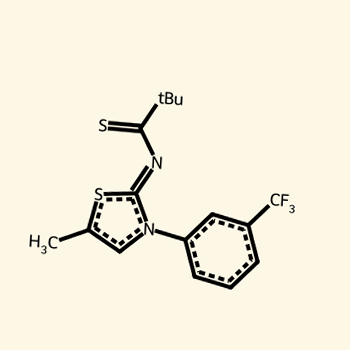 Cc1cn(-c2cccc(C(F)(F)F)c2)c(=NC(=S)C(C)(C)C)s1